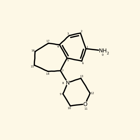 Nc1ccc2c(c1)C(N1CCOCC1)CCCC2